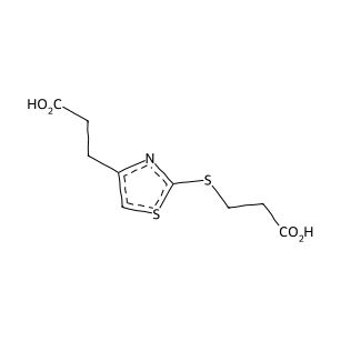 O=C(O)CCSc1nc(CCC(=O)O)cs1